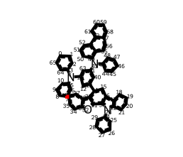 c1ccc(N(c2ccccc2)c2cc(-c3cc4c5ccccc5n(-c5ccccc5)c4c4oc5ccccc5c34)cc(N(c3ccccc3)c3cccc4c3ccc3ccccc34)c2)cc1